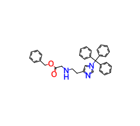 O=C(CNCCc1cn(C(c2ccccc2)(c2ccccc2)c2ccccc2)cn1)OCc1ccccc1